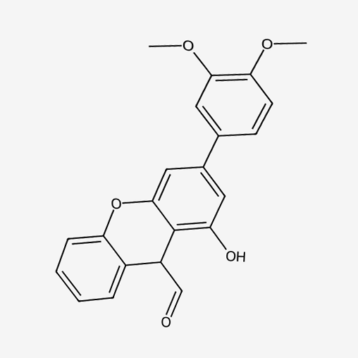 COc1ccc(-c2cc(O)c3c(c2)Oc2ccccc2C3C=O)cc1OC